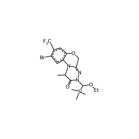 CCOC(N1N=C2COc3cc(C(F)(F)F)c(Br)cc3N2C(C)C1=O)[Si](C)(C)C